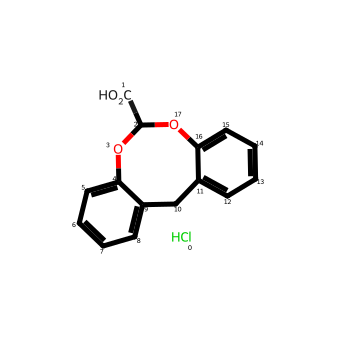 Cl.O=C(O)C1Oc2ccccc2Cc2ccccc2O1